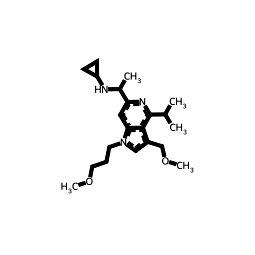 COCCCn1cc(COC)c2c(C(C)C)nc(C(C)NC3CC3)cc21